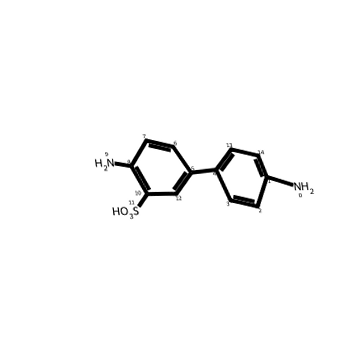 Nc1ccc(-c2ccc(N)c(S(=O)(=O)O)c2)cc1